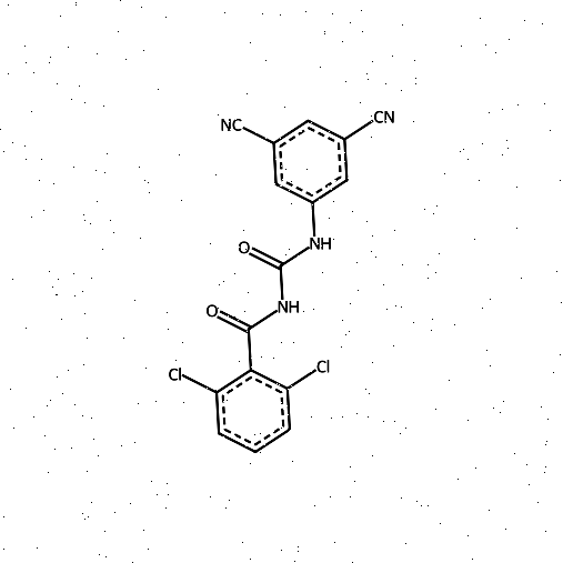 N#Cc1cc(C#N)cc(NC(=O)NC(=O)c2c(Cl)cccc2Cl)c1